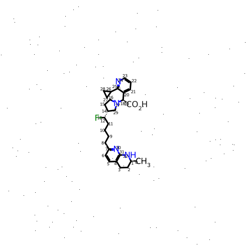 C[C@H]1CCc2ccc(CCCCC(F)[C@@H]3CCN([C@H](C(=O)O)c4cccnc4C4CC4)C3)nc2N1